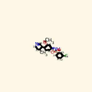 COc1cc(NS(=O)(=O)c2cccc(F)c2)ccc1-c1cnccc1C